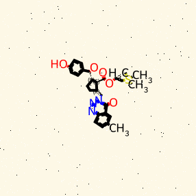 Cc1ccc2nnn(C[C@@H]3CC[C@H](C(=O)c4ccc(O)cc4)[C@H]3C(=O)OCCS(C)(C)C)c(=O)c2c1